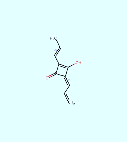 C=C/C=C1\C(=O)C(/C=C/C)=C1O